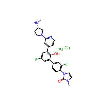 CN[C@H]1CCN(c2cc(-c3cc(F)cc(-c4ccc(-n5ccn(C)c5=O)c(Cl)c4)c3O)ccn2)C1.Cl.Cl